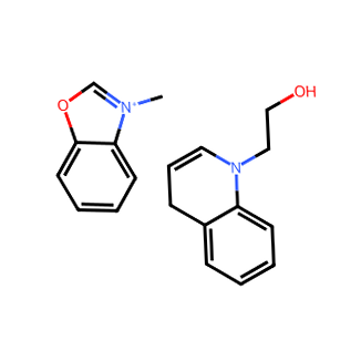 C[n+]1coc2ccccc21.OCCN1C=CCc2ccccc21